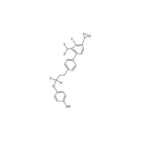 CCCc1ccc(OC(F)(F)CCc2ccc(-c3ccc(C4CO4)c(F)c3C(F)F)cc2)cc1